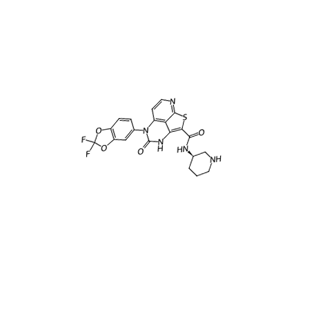 O=C(N[C@@H]1CCCNC1)c1sc2nccc3c2c1NC(=O)N3c1ccc2c(c1)OC(F)(F)O2